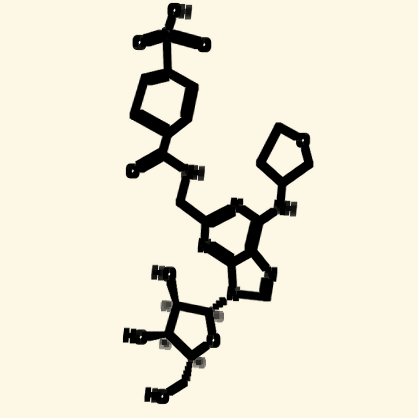 O=C(NCc1nc(NC2CCOC2)c2ncn([C@@H]3O[C@H](CO)[C@@H](O)[C@H]3O)c2n1)c1ccc(S(=O)(=O)O)cc1